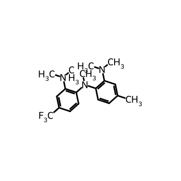 Cc1ccc(N(C)c2ccc(C(F)(F)F)cc2N(C)C)c(N(C)C)c1